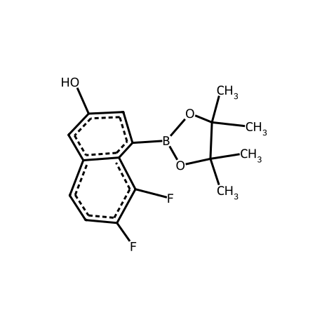 CC1(C)OB(c2cc(O)cc3ccc(F)c(F)c23)OC1(C)C